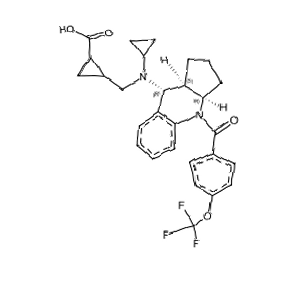 O=C(O)C1CC1CN(C1CC1)[C@H]1c2ccccc2N(C(=O)c2ccc(OC(F)(F)F)cc2)[C@@H]2CCC[C@@H]21